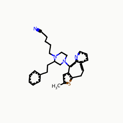 Cc1cc2c(s1)CC=c1cccnc1=C2N1CCN(CCCCC#N)C(CCc2ccccc2)C1